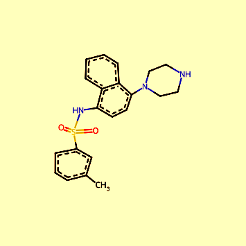 Cc1cccc(S(=O)(=O)Nc2ccc(N3CCNCC3)c3ccccc23)c1